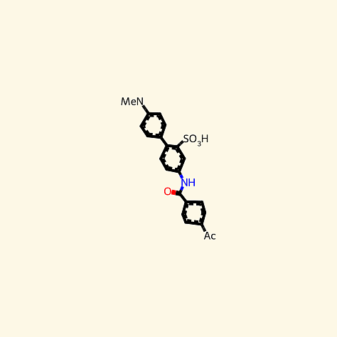 CNc1ccc(-c2ccc(NC(=O)c3ccc(C(C)=O)cc3)cc2S(=O)(=O)O)cc1